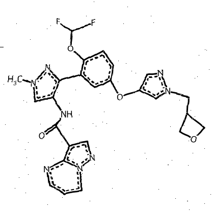 Cn1cc(NC(=O)c2cnn3cccnc23)c(-c2cc(Oc3cnn(CC4COC4)c3)ccc2OC(F)F)n1